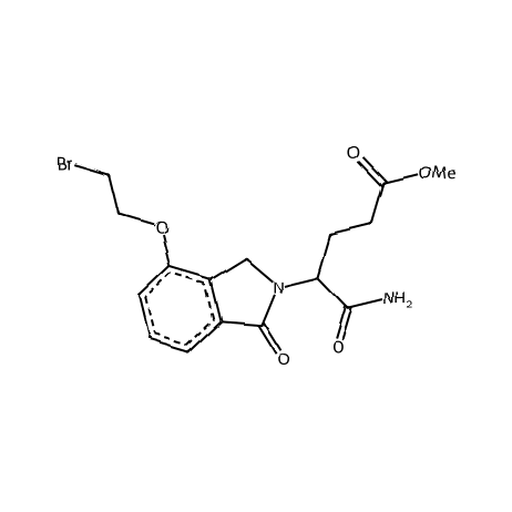 COC(=O)CCC(C(N)=O)N1Cc2c(OCCBr)cccc2C1=O